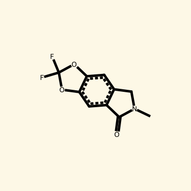 CN1Cc2cc3c(cc2C1=O)OC(F)(F)O3